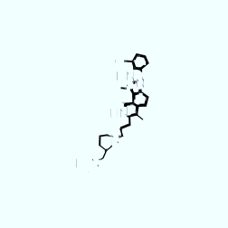 Cc1c(C=CCN2CCCC(CN)C2)[nH]c(=O)c2c1ccc1nc(Nc3c(Cl)cccc3Cl)n(C)c12